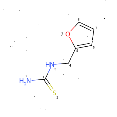 NC(=S)NCc1ccco1